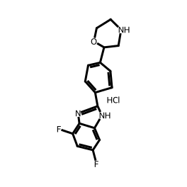 Cl.Fc1cc(F)c2nc(-c3ccc(C4CNCCO4)cc3)[nH]c2c1